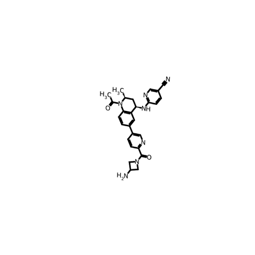 CC(=O)N1c2ccc(-c3ccc(C(=O)N4CC(N)C4)nc3)cc2[C@H](Nc2ccc(C#N)cn2)C[C@@H]1C